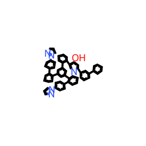 Oc1cc(-c2cccc(-c3ccccc3)c2)ncc1-c1ccccc1-c1cc(-c2ccccc2-c2ccc(-n3cccn3)cc2)cc(-c2ccccc2-c2ccc(-n3cccn3)cc2)c1